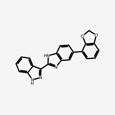 c1cc2c(c(-c3ccc4[nH]c(-c5n[nH]c6ccccc56)nc4c3)c1)OCO2